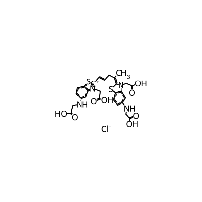 CC(CC=C[c+]1sc2ccc(NCC(=O)O)cc2n1CC(=O)O)=C1Sc2ccc(NCC(=O)O)cc2N1CC(=O)O.[Cl-]